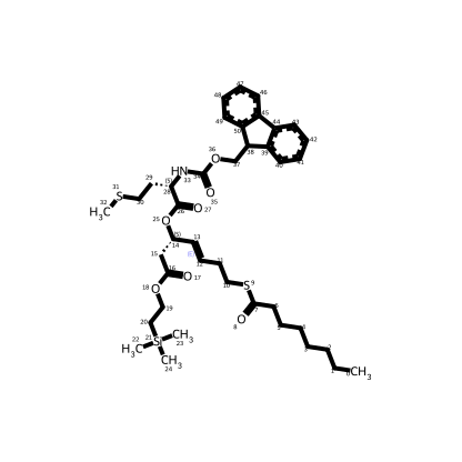 CCCCCCCC(=O)SCC/C=C/[C@H](CC(=O)OCC[Si](C)(C)C)OC(=O)[C@H](CCSC)NC(=O)OCC1c2ccccc2-c2ccccc21